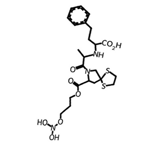 CC(NC(CCc1ccccc1)C(=O)O)C(=O)N1CC2(CC1C(=O)OCCCON(O)O)SCCS2